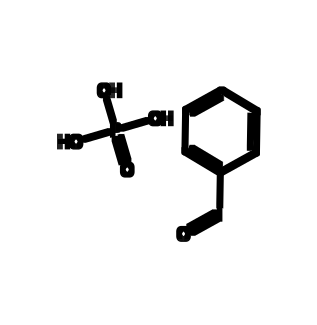 O=Ic1ccccc1.O=P(O)(O)O